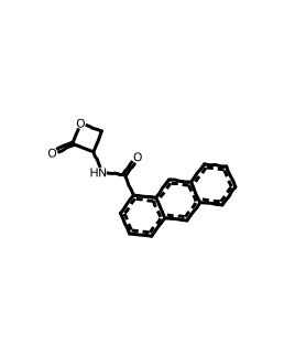 O=C(NC1COC1=O)c1cccc2cc3ccccc3cc12